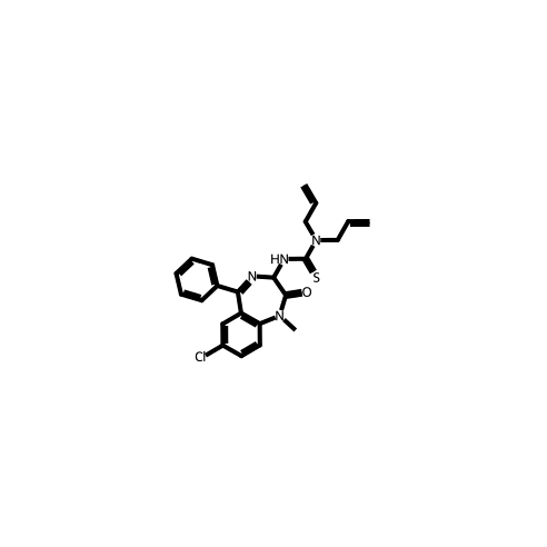 C=CCN(CC=C)C(=S)NC1N=C(c2ccccc2)c2cc(Cl)ccc2N(C)C1=O